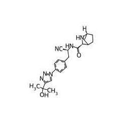 CC(C)(O)c1cn(-c2ccc(C[C@@H](C#N)NC(=O)[C@H]3N[C@@H]4CCC3C4)cc2)nn1